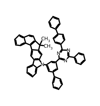 CC1(C)c2cc3c(cc2-c2c1ccc1ccccc21)c1ccccc1n3-c1cc(-c2ccccc2)cc(-c2nc(-c3ccccc3)nc(-c3ccc(-c4ccccc4)cc3)n2)c1